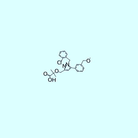 COCc1cccc(-c2cc(COC(C)(C)C(=O)O)nn2Cc2ccccc2Cl)c1